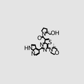 C[C@@H]1COCCN1c1nc(-c2ccnc3[nH]ccc23)nc2c(C(=O)N3CCC[C@H]3CO)csc12